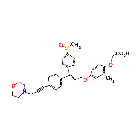 Cc1cc(OCC=C(c2ccc(C#CCN3CCOCC3)cc2)c2ccc([S+](C)[O-])cc2)ccc1OCC(=O)O